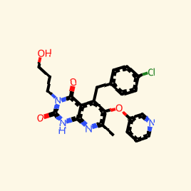 Cc1nc2[nH]c(=O)n(CCCO)c(=O)c2c(Cc2ccc(Cl)cc2)c1Oc1cccnc1